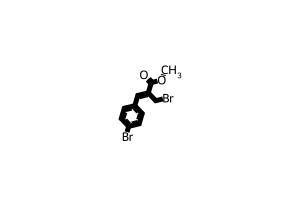 COC(=O)C(=Cc1ccc(Br)cc1)CBr